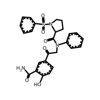 NC(=O)c1cc(C(=O)CN(C(=O)C2CCCN2S(=O)(=O)c2ccccc2)c2ccccc2)ccc1O